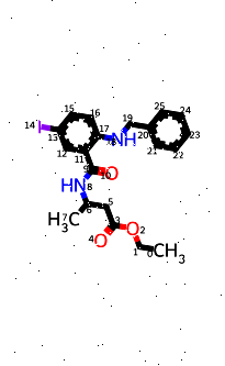 CCOC(=O)CC(C)NC(=O)c1cc(I)ccc1NCc1ccccc1